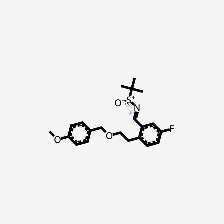 COc1ccc(COCCc2ccc(F)cc2/C=N/[S@+]([O-])C(C)(C)C)cc1